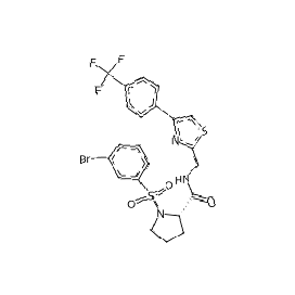 O=C(NCc1nc(-c2ccc(C(F)(F)F)cc2)cs1)[C@@H]1CCCN1S(=O)(=O)c1cccc(Br)c1